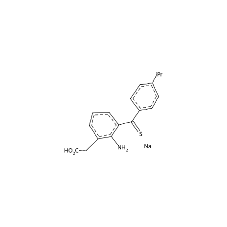 CC(C)c1ccc(C(=S)c2cccc(CC(=O)O)c2N)cc1.[Na]